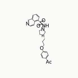 CC(=O)c1ccc(OCCC[C@@H]2CCN(NS(=O)(=O)c3cccc4cnccc34)C2)cc1